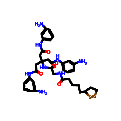 Nc1cccc(NC(=O)CC(CC(=O)Nc2cccc(N)c2)(CC(=O)Nc2cccc(N)c2)NC(=O)CNC(=O)CCCCC2CCSS2)c1